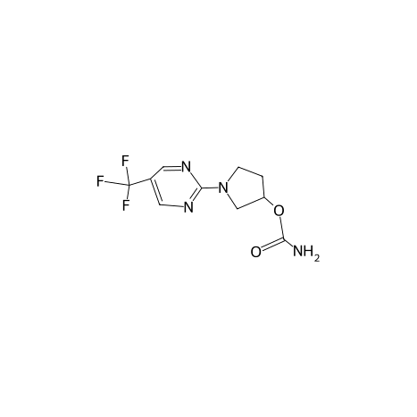 NC(=O)OC1CCN(c2ncc(C(F)(F)F)cn2)C1